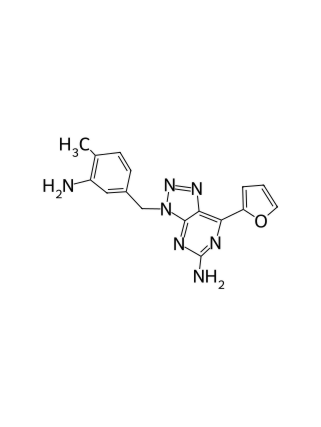 Cc1ccc(Cn2nnc3c(-c4ccco4)nc(N)nc32)cc1N